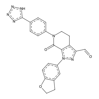 O=Cc1nn(-c2ccc3c(c2)CCO3)c2c1CCN(c1ccc(-c3nnn[nH]3)cc1)C2=O